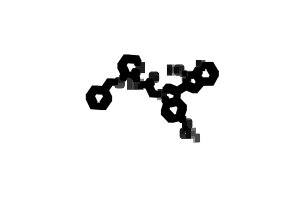 COc1ccc2c(c1)c(-c1cc3cccnc3n1O)cn2CC(=O)Nc1ncccc1OCc1ccccc1